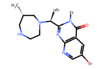 CCC[C@@H](c1nc2ncc(Br)cc2c(=O)n1CC)N1CCNC[C@H](C)C1